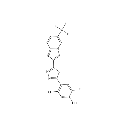 Oc1cc(Cl)c(-c2nnc(-c3cn4cc(C(F)(F)F)ccc4n3)s2)cc1F